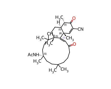 CC(=O)N[C@@]1(C)CCC(C)(C)CCCC(=O)/C=C2/[C@@]3(C)C=C(C#N)C(=O)[C@@H](C)[C@@H]3CC[C@@]2(C)C(C)(C)CC1